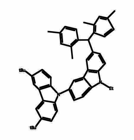 CCn1c2ccc(C(c3ccc(C)cc3C)c3ccc(C)cc3C)cc2c2cc(-n3c4ccc(C(C)(C)C)cc4c4cc(C(C)(C)C)ccc43)ccc21